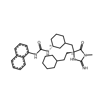 CN1C(=N)N[C@](CCC2CCCCC2)(CC2CCC[C@@H](NC(=O)Nc3cccc4ccccc34)C2)C1=O